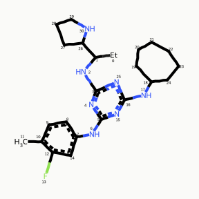 CCC(Nc1nc(Nc2ccc(C)c(F)c2)nc(NC2CCCCCC2)n1)C1CCCN1